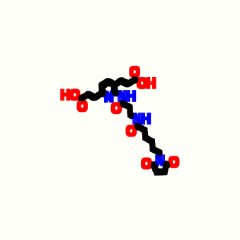 O=C(O)C=Cc1ccc(C=CC(=O)O)c(NC(=O)CCNC(=O)CCCCCN2C(=O)C=CC2=O)n1